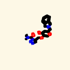 CN(C)C(=O)n1nncc1COc1coc(CN2Cc3ccccc3C2)cc1=O